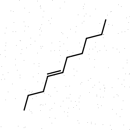 C[CH]CCC/C=C/CCC